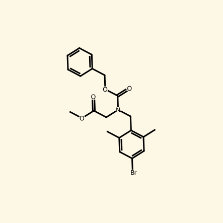 COC(=O)CN(Cc1c(C)cc(Br)cc1C)C(=O)OCc1ccccc1